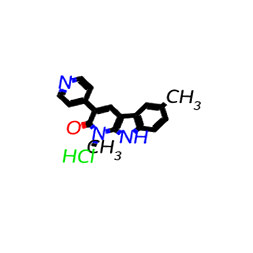 Cc1ccc2[nH]c3c(cc(-c4ccncc4)c(=O)n3C)c2c1.Cl